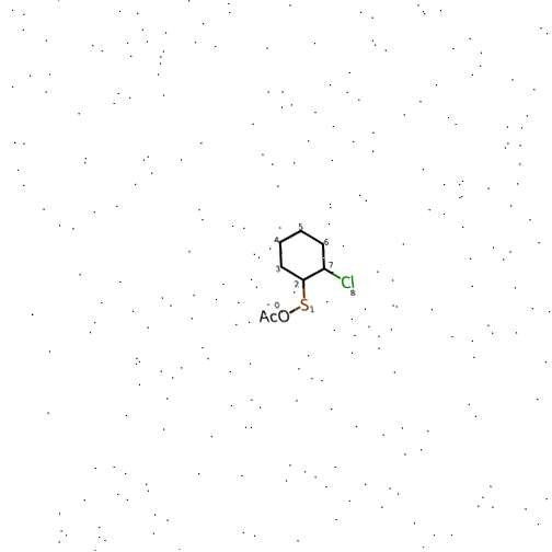 CC(=O)OSC1CCCCC1Cl